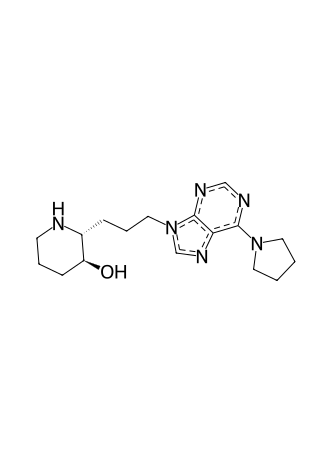 O[C@H]1CCCN[C@@H]1CCCn1cnc2c(N3CCCC3)ncnc21